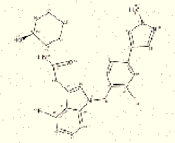 Cn1cc(-c2ccc(Cn3cc(CC(=O)N[C@H]4CCCC[C@@H]4O)c4c(F)cccc43)c(F)c2)cn1